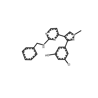 Cn1cc(-c2ccnc(NCc3ccccc3)n2)c(-c2cc(O)cc(Cl)c2)n1